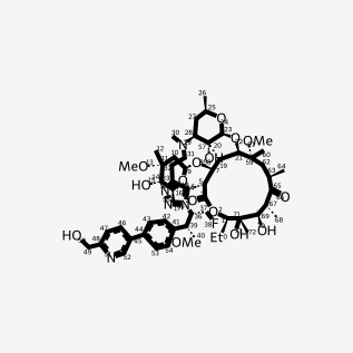 CC[C@H]1OC(=O)[C@H](C)[C@@H](O[C@H]2C[C@@](C)(OC)[C@@H](O)[C@H](C)O2)[C@H](C)[C@@H](O[C@@H]2O[C@H](C)C[C@H](N(C)CCc3cn([C@H](CF)[C@H](OC)c4ccc(-c5ccc(CO)nc5)cc4)nn3)[C@H]2O)[C@](C)(OC)C[C@@H](C)C(=O)[C@H](C)[C@@H](O)[C@]1(C)O